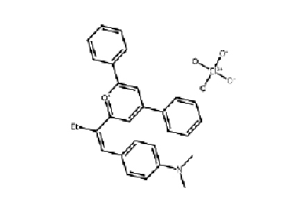 CCC(=Cc1ccc(N(C)C)cc1)c1cc(-c2ccccc2)cc(-c2ccccc2)[o+]1.[O-][Cl+3]([O-])([O-])[O-]